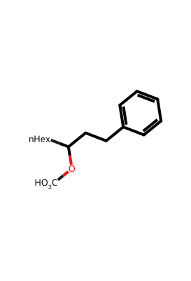 CCCCCCC(CCc1ccccc1)OC(=O)O